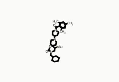 CCCCC1CN(CC2CCCCC2)C(=O)OC12CCN(C1CCN(C(=O)c3c(C)cc(C)cc3C)CC1)CC2